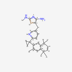 CNc1nc(N)c(Cc2ccc(C3(c4cc5c(cc4C)C(C)(C)C=CC5(C)C)CC3)nc2)s1